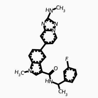 CNc1nc2cc(-c3ccc4c(c3)c(C(=O)NC(C)c3cccc(F)c3)cn4C)ccn2n1